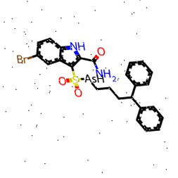 NC(=O)c1[nH]c2ccc(Br)cc2c1S(=O)(=O)[AsH]CCCC(c1ccccc1)c1ccccc1